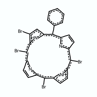 Brc1c2nc(c(-c3ccccc3)c3cc(Br)c([nH]3)c(Br)c3nc(c(Br)c4ccc1[nH]4)C=C3)C=C2